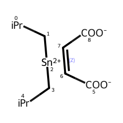 CC(C)[CH2][Sn+2][CH2]C(C)C.O=C([O-])/C=C\C(=O)[O-]